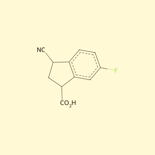 N#CC1CC(C(=O)O)c2cc(F)ccc21